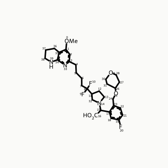 COc1cc(CCCCC(F)(F)C2CCN(C(C(=O)O)c3cc(F)ccc3COC3CCOCC3)C2)nc2c1CCCN2